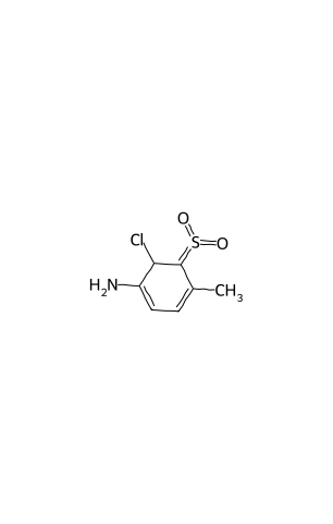 CC1=CC=C(N)C(Cl)C1=S(=O)=O